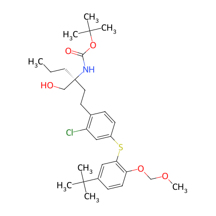 CCC[C@@](CO)(CCc1ccc(Sc2cc(C(C)(C)C)ccc2OCOC)cc1Cl)NC(=O)OC(C)(C)C